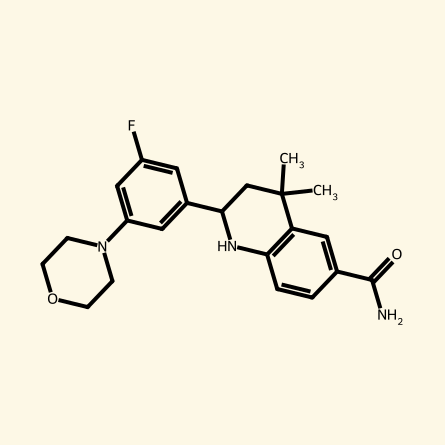 CC1(C)CC(c2cc(F)cc(N3CCOCC3)c2)Nc2ccc(C(N)=O)cc21